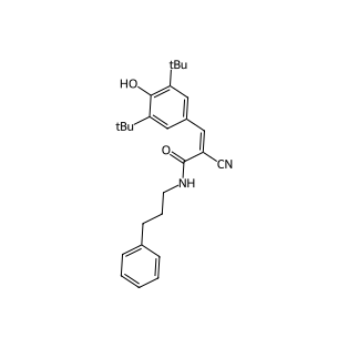 CC(C)(C)c1cc(C=C(C#N)C(=O)NCCCc2ccccc2)cc(C(C)(C)C)c1O